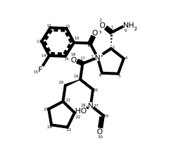 NC(=O)[C@@H]1CCC[N+]1(C(=O)c1cccc(F)c1)C(=O)[C@H](CC1CCCC1)CN(O)C=O